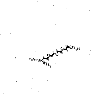 CCCCCN(C)CCOCCOCCOCCC(=O)O